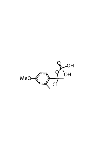 COc1ccc(C(C)(Cl)OP(=O)(O)O)c(C)c1